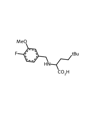 COc1cc(CNC(CCC(C)(C)C)C(=O)O)ccc1F